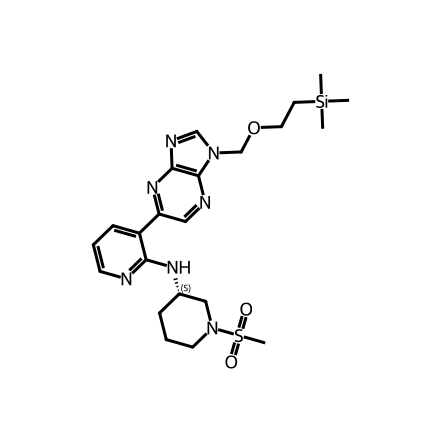 C[Si](C)(C)CCOCn1cnc2nc(-c3cccnc3N[C@H]3CCCN(S(C)(=O)=O)C3)cnc21